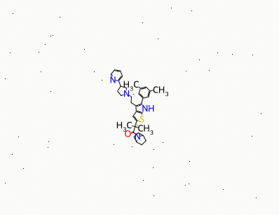 Cc1cc(C)cc(-c2[nH]c3sc(C(C)(C)C(=O)N4C5CCC4CC5)cc3c2CCN2CCC(c3ccccn3)C2)c1